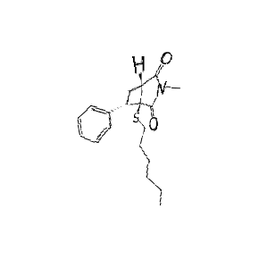 CCCCCCS[C@]12C(=O)N(C)C(=O)[C@H]1C[C@H]2c1ccccc1